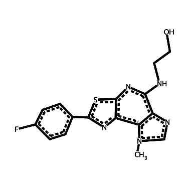 Cn1cnc2c(NCCO)nc3sc(-c4ccc(F)cc4)nc3c21